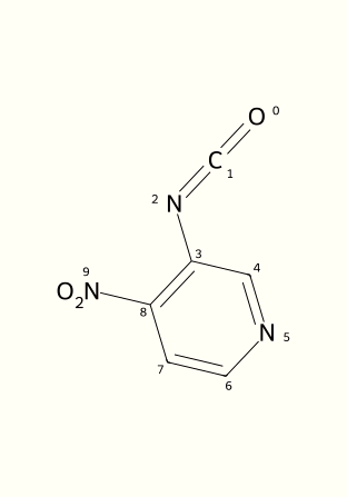 O=C=Nc1cnccc1[N+](=O)[O-]